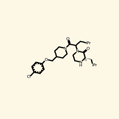 CC(C)CC(C(=O)N1CCC(COc2ccc(Cl)cc2)CC1)N1CCN[C@@H](CC(C)C)C1=O